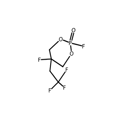 O=P1(F)OCC(F)(CC(F)(F)F)CO1